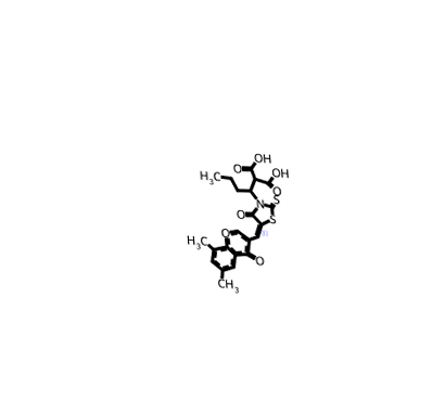 CCCC(C(C(=O)O)C(=O)O)N1C(=O)/C(=C\c2coc3c(C)cc(C)cc3c2=O)SC1=S